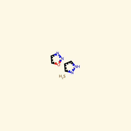 S.c1cn[nH]c1.c1conn1